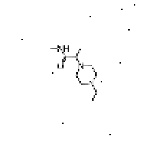 CCN1CCN(C(C)C(=O)NC)CC1